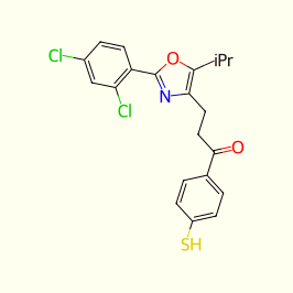 CC(C)c1oc(-c2ccc(Cl)cc2Cl)nc1CCC(=O)c1ccc(S)cc1